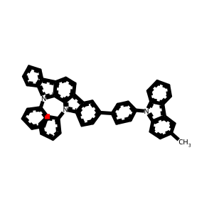 Cc1ccc2c(c1)c1ccccc1n2-c1ccc(-c2ccc3c(c2)c2ccc4c5ccccc5n(-c5ccccc5)c4c2n3-c2ccccc2)cc1